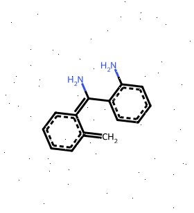 C=c1cccc/c1=C(\N)c1ccccc1N